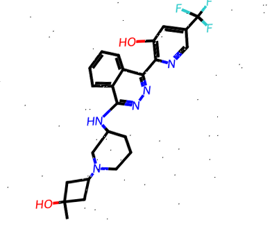 CC1(O)CC(N2CCCC(Nc3nnc(-c4ncc(C(F)(F)F)cc4O)c4ccccc34)C2)C1